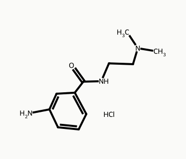 CN(C)CCNC(=O)c1cccc(N)c1.Cl